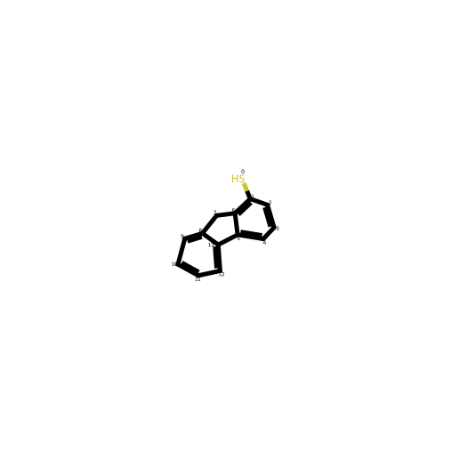 Sc1cccc2c1[CH]c1ccccc1-2